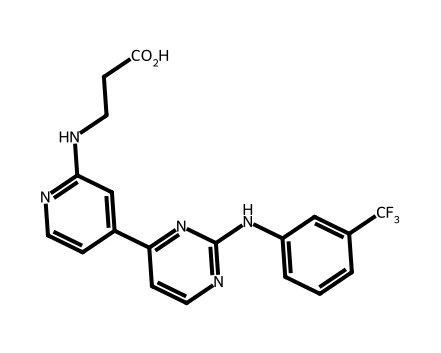 O=C(O)CCNc1cc(-c2ccnc(Nc3cccc(C(F)(F)F)c3)n2)ccn1